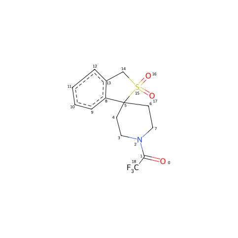 O=C(N1CCC2(CC1)c1ccccc1CS2(=O)=O)C(F)(F)F